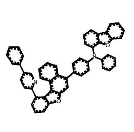 c1ccc(-c2ccc(-c3cccc4oc5cc(-c6ccc(N(c7ccccc7)c7cccc8c7oc7ccccc78)cc6)c6ccccc6c5c34)nc2)cc1